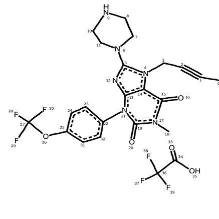 CC#CCn1c(N2CCNCC2)nc2c1c(=O)n(C)c(=O)n2-c1ccc(OC(F)(F)F)cc1.O=C(O)C(F)(F)F